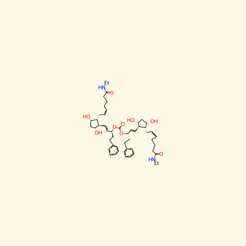 CCNC(=O)CCC/C=C\C[C@@H]1[C@@H](/C=C/[C@H](CCc2ccccc2)OC(=O)O[C@H](/C=C/[C@@H]2[C@@H](C/C=C\CCCC(=O)NCC)[C@@H](O)C[C@H]2O)CCc2ccccc2)[C@H](O)C[C@@H]1O